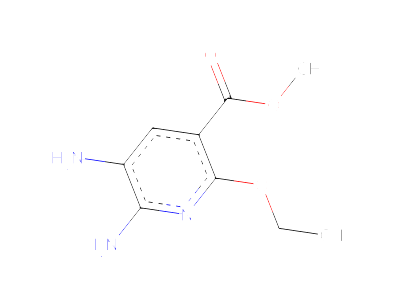 CCOc1nc(N)c(N)cc1C(=O)OC